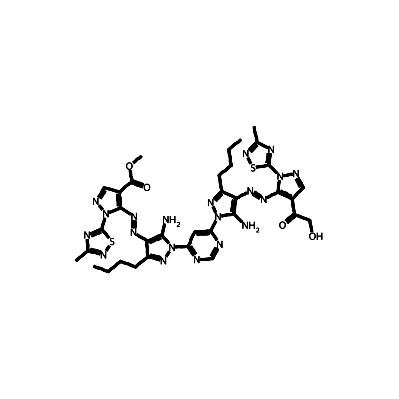 CCCCc1nn(-c2cc(-n3nc(CCCC)c(/N=N/c4c(C(=O)OC)cnn4-c4nc(C)ns4)c3N)ncn2)c(N)c1/N=N/c1c(C(=O)CO)cnn1-c1nc(C)ns1